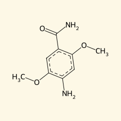 COc1cc(C(N)=O)c(OC)cc1N